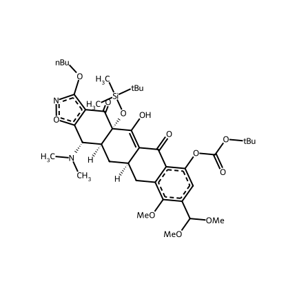 CCCCOc1noc2c1C(=O)[C@@]1(O[Si](C)(C)C(C)(C)C)C(O)=C3C(=O)c4c(OC(=O)OC(C)(C)C)cc(C(OC)OC)c(OC)c4C[C@H]3C[C@H]1[C@@H]2N(C)C